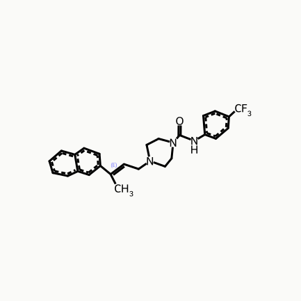 C/C(=C\CN1CCN(C(=O)Nc2ccc(C(F)(F)F)cc2)CC1)c1ccc2ccccc2c1